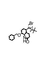 CC(C)(C)[Si](C)(C)[C@@H](CBr)c1ccc(OCc2ccccc2)c2[nH]c(=O)ccc12